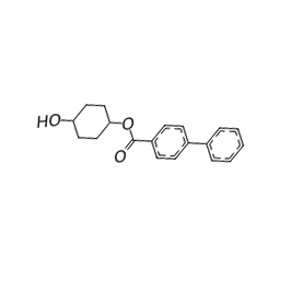 O=C(OC1CCC(O)CC1)c1ccc(-c2ccccc2)cc1